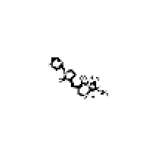 N[C@@H]1C(=O)N2C(C(=O)O)=C(C=C3CCN(c4cnccn4)C3=O)CS[C@H]12